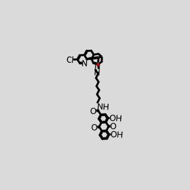 CC1=CC2C3CC=C4C=C(Cl)C=NC42C=C(NCCCCCCCCCNC(=O)c2cc(O)c4c(c2)C(=O)c2cccc(O)c2C4=O)C(C1)C3